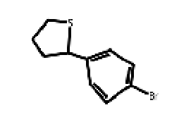 Brc1ccc(C2CCCS2)cc1